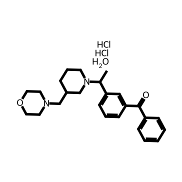 CC(c1cccc(C(=O)c2ccccc2)c1)N1CCCC(CN2CCOCC2)C1.Cl.Cl.O